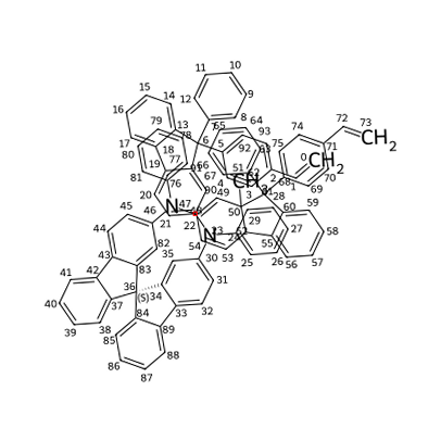 C=Cc1ccc(C2(c3ccccc3)c3ccccc3-c3ccc(N(c4ccccc4)c4ccc5c(c4)[C@@]4(c6ccccc6-c6ccc(N(C7=CC8(C)C(C=C7)c7ccccc7C8(c7ccccc7)c7ccc(C=C)cc7)c7ccccc7)cc64)c4ccccc4-5)cc32)cc1